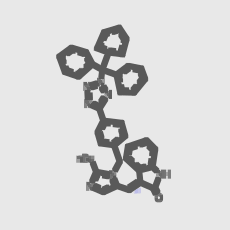 CCCCc1ncc(/C=C2/C(=O)Nc3ccccc32)n1Cc1ccc(-c2nnn(C(c3ccccc3)(c3ccccc3)c3ccccc3)n2)cc1